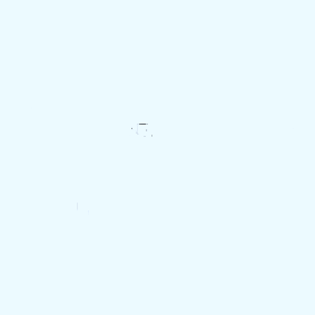 CCCCCCCCCCCCCCCN1C=CN(CCCCCCCCCCCC)C1CCCCCCCCCC